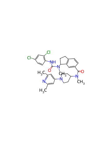 Cc1cc(N2CCC(N(C)C(=O)c3ccc4c(c3)C(N(C)C(=O)Nc3ccc(Cl)cc3Cl)CC4)CC2)cc(C)n1